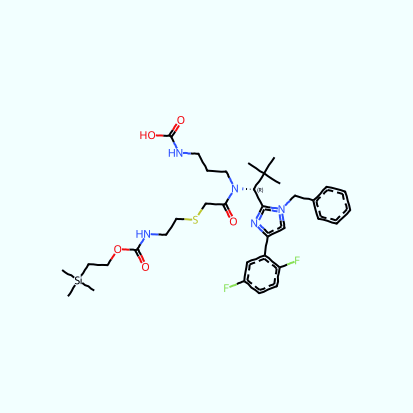 CC(C)(C)[C@H](c1nc(-c2cc(F)ccc2F)cn1Cc1ccccc1)N(CCCNC(=O)O)C(=O)CSCCNC(=O)OCC[Si](C)(C)C